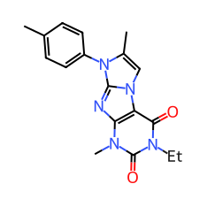 CCn1c(=O)c2c(nc3n(-c4ccc(C)cc4)c(C)cn23)n(C)c1=O